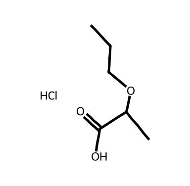 CCCOC(C)C(=O)O.Cl